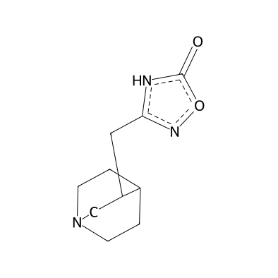 O=c1[nH]c(CC2CN3CCC2CC3)no1